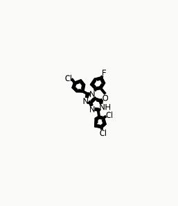 Cc1cc(F)ccc1-n1c(-c2ccc(Cl)cc2)nc2nc(-c3ccc(Cl)cc3Cl)[nH]c(=O)c21